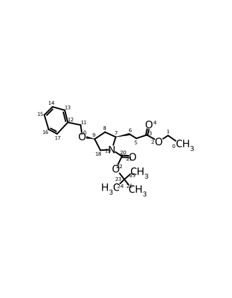 CCOC(=O)CC[C@@H]1C[C@H](OCc2ccccc2)CN1C(=O)OC(C)(C)C